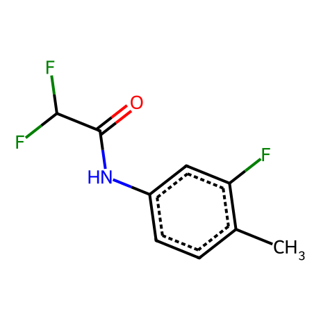 Cc1ccc(NC(=O)C(F)F)cc1F